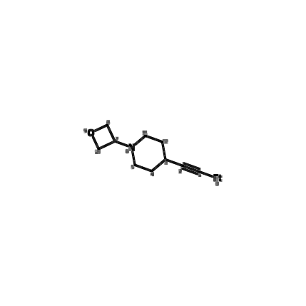 CCC#CC1CCN(C2COC2)CC1